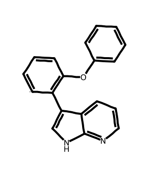 [c]1cccc(Oc2ccccc2)c1-c1c[nH]c2ncccc12